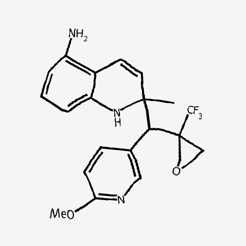 COc1ccc(C(C2(C)C=Cc3c(N)cccc3N2)C2(C(F)(F)F)CO2)cn1